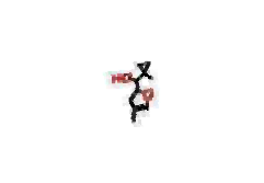 CC1=COC(C(O)C2(C)CC2)C1